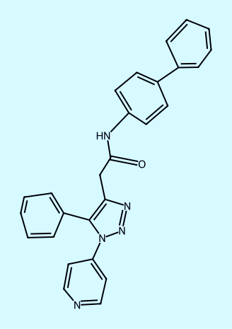 O=C(Cc1nnn(-c2ccncc2)c1-c1ccccc1)Nc1ccc(-c2ccccc2)cc1